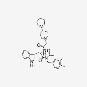 CC(=O)N(Cc1ccc(C)c(C)c1)C(=O)C(Cc1c[nH]c2ccccc12)NC(=O)CN1CCC(N2CCCCC2)CC1